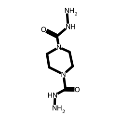 NNC(=O)N1CCN(C(=O)NN)CC1